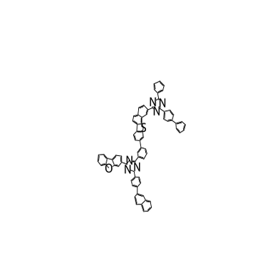 c1ccc(-c2ccc(-c3nc(-c4ccccc4)nc(-c4ccc5ccc6c7ccc(-c8cccc(-c9nc(-c%10ccc(-c%11ccc%12ccccc%12c%11)cc%10)nc(-c%10ccc%11c(c%10)oc%10ccccc%10%11)n9)c8)cc7sc6c5c4)n3)cc2)cc1